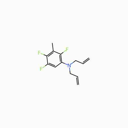 C=CCN(CC=C)c1cc(F)c(F)c(C)c1F